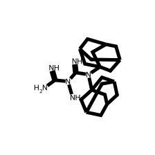 N=C(N)N(N)C(=N)N(C12CC3CC(CC(C3)C1)C2)C12CC3CC(CC(C3)C1)C2